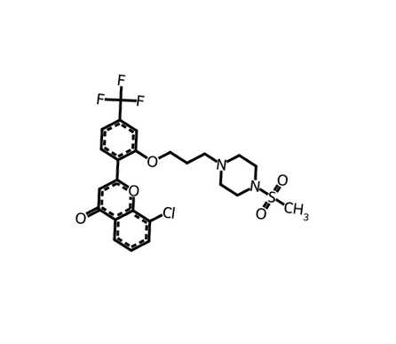 CS(=O)(=O)N1CCN(CCCOc2cc(C(F)(F)F)ccc2-c2cc(=O)c3cccc(Cl)c3o2)CC1